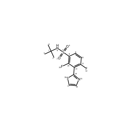 CC(C)(C)NS(=O)(=O)c1ccc(F)c(-c2nccs2)c1F